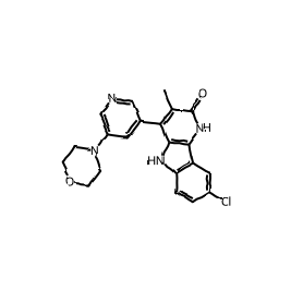 Cc1c(-c2cncc(N3CCOCC3)c2)c2[nH]c3ccc(Cl)cc3c2[nH]c1=O